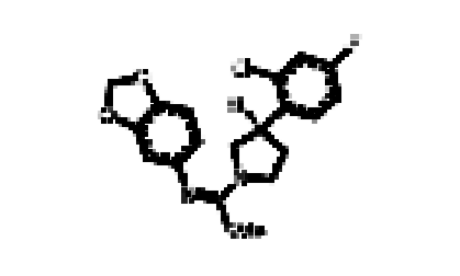 CC[C@@]1(c2ccc(F)cc2Cl)CCN(/C(=N\c2ccc3c(c2)OCO3)SC)C1